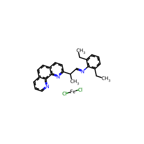 CCc1cccc(CC)c1N=CC(C)c1ccc2ccc3cccnc3c2n1.[Cl][Fe][Cl]